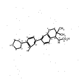 CC1(C)COc2cc(-c3ccc(N4CCOCC4)c(F)c3)ccc2C1NC(=O)O